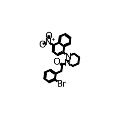 O=C(Cc1ccccc1Br)N1CCCCN1c1ccc([N+](=O)[O-])c2ccccc12